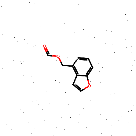 O=COCc1cccc2occc12